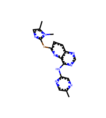 Cc1cnc(Nc2ncnc3ccc(Sc4ncc(C)n4C)nc23)cn1